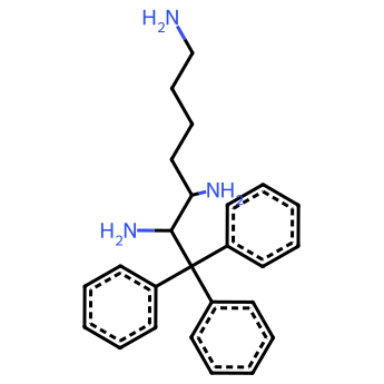 NCCCCC(N)C(N)C(c1ccccc1)(c1ccccc1)c1ccccc1